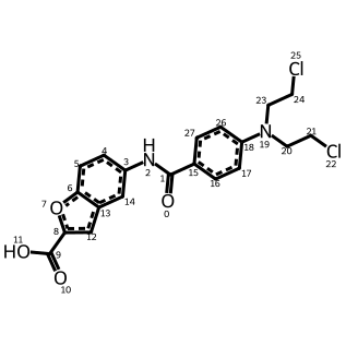 O=C(Nc1ccc2oc(C(=O)O)cc2c1)c1ccc(N(CCCl)CCCl)cc1